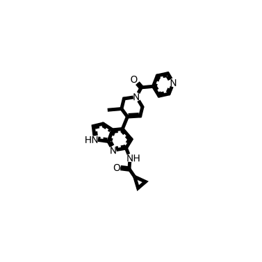 CC1CN(C(=O)c2ccncc2)CC=C1c1cc(NC(=O)C2CC2)nc2[nH]ccc12